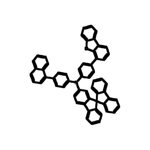 c1ccc2c(c1)-c1ccccc1C21c2ccccc2-c2ccc(N(c3ccc(-c4cccc5ccccc45)cc3)c3ccc(-c4cccc5c4oc4ccccc45)cc3)cc21